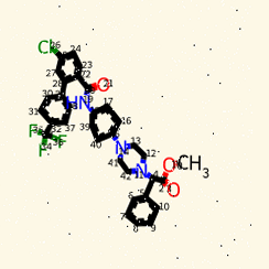 COC(=O)C(c1ccccc1)N1CCN(c2ccc(NC(=O)c3ccc(Cl)cc3-c3ccc(C(F)(F)F)cc3)cc2)CC1